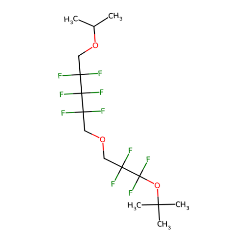 CC(C)OCC(F)(F)C(F)(F)C(F)(F)COCC(F)(F)C(F)(F)OC(C)(C)C